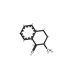 CC1CCc2ccccc2C1=O